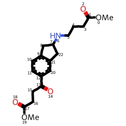 COC(=O)CCCNC1Cc2ccc(C(=O)CCC(=O)OC)cc2C1